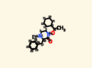 CCN1CCN(OC(C)C2CCCCC2)C(=O)C1Cc1ccccc1